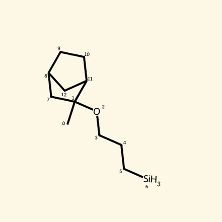 CC1(OCCC[SiH3])CC2CCC1C2